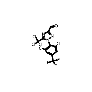 O=Cc1nc(C(Cl)(Cl)Cl)n(-c2c(Cl)cc(C(F)(F)F)cc2Cl)n1